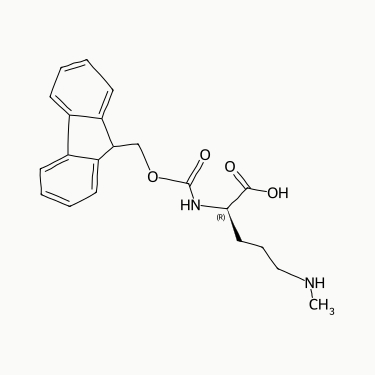 CNCCC[C@@H](NC(=O)OCC1c2ccccc2-c2ccccc21)C(=O)O